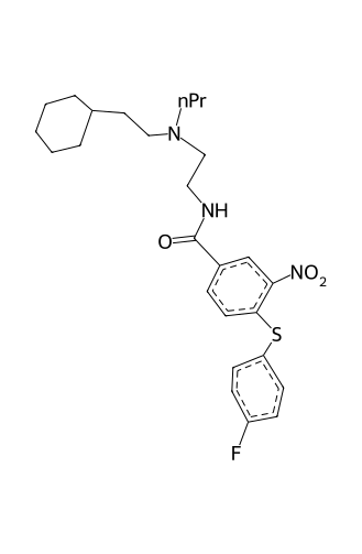 CCCN(CCNC(=O)c1ccc(Sc2ccc(F)cc2)c([N+](=O)[O-])c1)CCC1CCCCC1